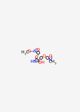 COCCCN1CCOc2ccc(CO[C@H]3CNC[C@@H](O)[C@@H]3c3ccc(Oc4ccc5c(c4)OCCN5C)cc3)cc21